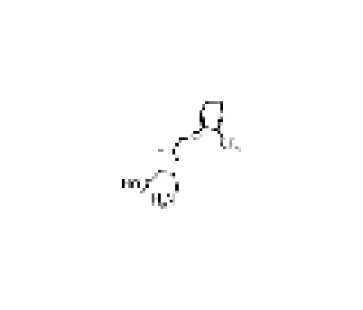 C[C@H](COc1ccccc1C(F)(F)F)C[C@H](CN)CC(=O)O